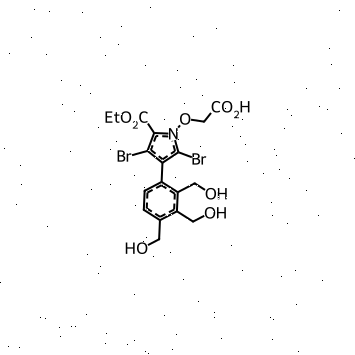 CCOC(=O)c1c(Br)c(-c2ccc(CO)c(CO)c2CO)c(Br)n1OCC(=O)O